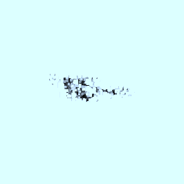 CO[Si](CCCNC(NCCC[Si](OC)(OC)OC)[SiH2]CC[Si](C)(C)O[Si](C)(C)O[Si](C)(C)O[Si](C)(C)O[Si](C)(C)C(C)[Si](OC)(OC)OC)(OC)OC